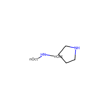 C1CCNC1.CCCCCCCCNCCCCCCCC